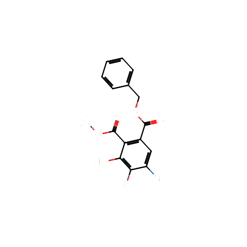 CC(C)(C)OC(=O)c1c(C(=O)OCc2ccccc2)cc(N)c(Br)c1O